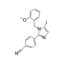 COc1ccccc1Cn1c(I)cnc1-c1ccc(C#N)cc1